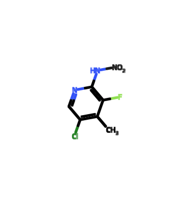 Cc1c(Cl)cnc(N[N+](=O)[O-])c1F